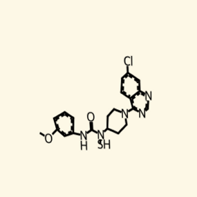 COc1cccc(NC(=O)N(S)C2CCN(c3ncnc4cc(Cl)ccc34)CC2)c1